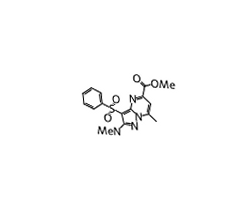 CNc1nn2c(C)cc(C(=O)OC)nc2c1S(=O)(=O)c1ccccc1